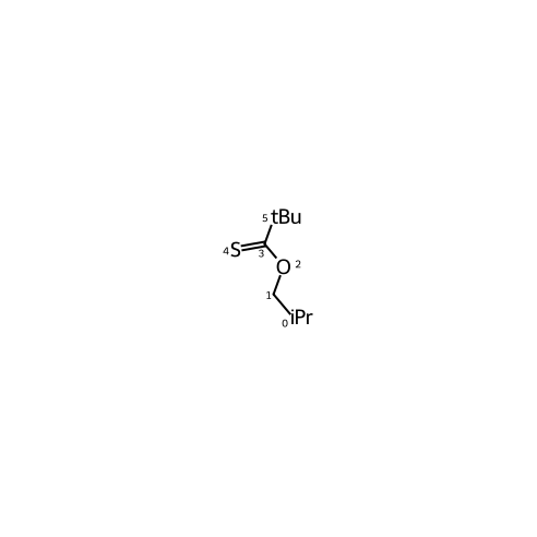 CC(C)COC(=S)C(C)(C)C